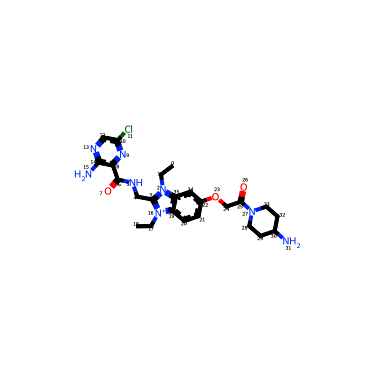 CCn1c(CNC(=O)c2nc(Cl)cnc2N)[n+](CC)c2ccc(OCC(=O)N3CCC(N)CC3)cc21